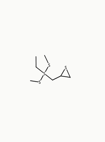 CCS(CC1CS1)(SC)SC